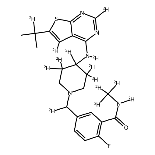 [2H]c1nc(N([2H])C2([2H])C([2H])([2H])CN(C([2H])c3ccc(F)c(C(=O)N([2H])C([2H])([2H])[2H])c3)CC2([2H])[2H])c2c([2H])c(C([2H])(C)C)sc2n1